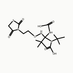 CC(C)(C)N(C(=O)O)C(NOCCN1C(=O)CSC1=O)(NC(=O)O)C(C)(C)C